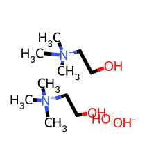 C[N+](C)(C)CCO.C[N+](C)(C)CCO.[OH-].[OH-]